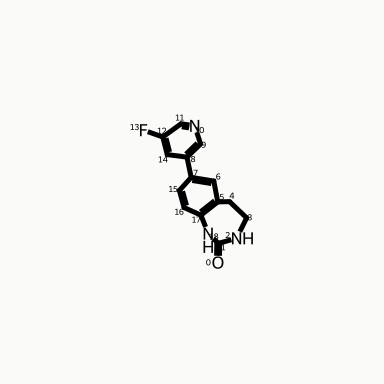 O=C1NCCc2cc(-c3cncc(F)c3)ccc2N1